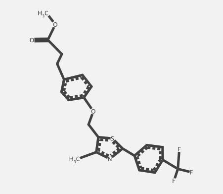 COC(=O)CCc1ccc(OCc2sc(-c3ccc(C(F)(F)F)cc3)nc2C)cc1